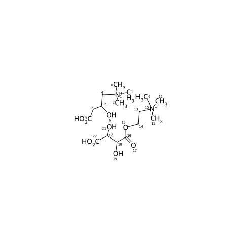 C[N+](C)(C)CC(O)CC(=O)O.C[N+](C)(C)CCOC(=O)C(O)C(O)C(=O)O